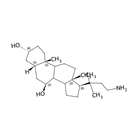 CC(C)(CCN)[C@H]1CCC2C3C(CC[C@@]21C)[C@@]1(C)CC[C@@H](O)C[C@H]1C[C@@H]3O